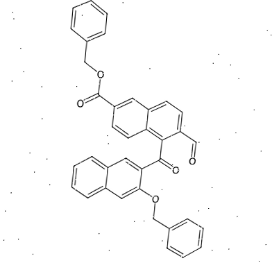 O=[C]c1ccc2cc(C(=O)OCc3ccccc3)ccc2c1C(=O)c1cc2ccccc2cc1OCc1ccccc1